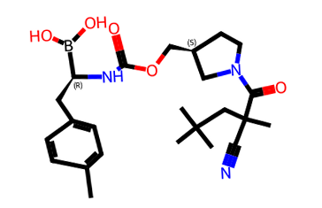 Cc1ccc(C[C@H](NC(=O)OC[C@H]2CCN(C(=O)C(C)(C#N)CC(C)(C)C)C2)B(O)O)cc1